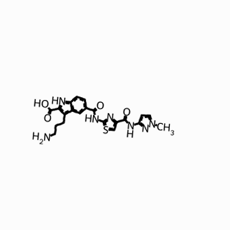 Cn1ccc(NC(=O)c2csc(NC(=O)c3ccc4[nH]c(C(=O)O)c(CCCN)c4c3)n2)n1